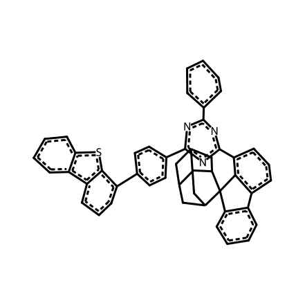 c1ccc(-c2nc(-c3ccc(-c4cccc5c4sc4ccccc45)cc3)nc(-c3cccc4c3C3(c5ccccc5-4)C4CC5CC(C4)CC3C5)n2)cc1